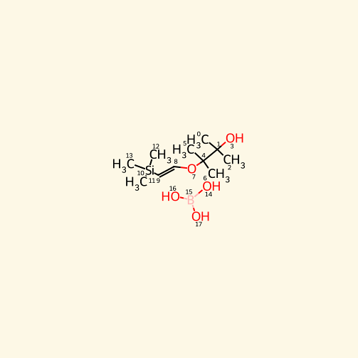 CC(C)(O)C(C)(C)OC=C[Si](C)(C)C.OB(O)O